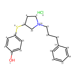 Cl.Oc1ccc(SC2CCN(CCCc3ccccc3)C2)cc1